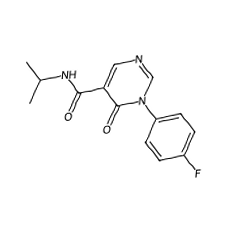 CC(C)NC(=O)c1cncn(-c2ccc(F)cc2)c1=O